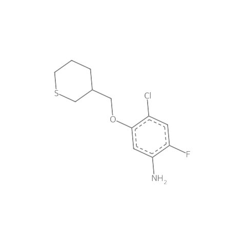 Nc1cc(OCC2CCCSC2)c(Cl)cc1F